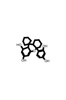 OC1=CC(O)C2C(=C1)OC1(c3ccc(O)cc3O)CCCCC1C21CCCCC1